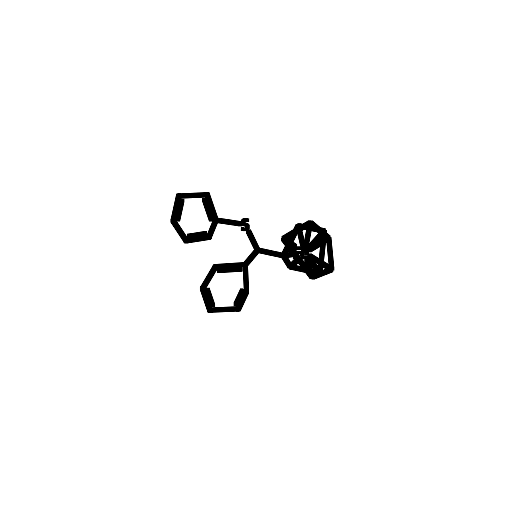 c1ccc(SC(c2ccccc2)[C]23[CH]4[CH]5[CH]6[CH]2[Fe]56432789[CH]3[CH]2[CH]7[CH]8[CH]39)cc1